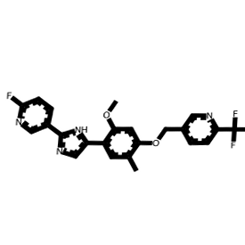 COc1cc(OCc2ccc(C(F)(F)F)nc2)c(C)cc1-c1cnc(-c2ccc(F)nc2)[nH]1